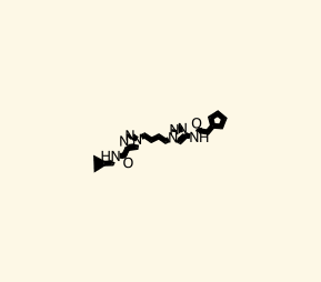 O=C(CC1CCCC1)Nc1cn(CCCCn2cc(C(=O)NCC3CC3)nn2)nn1